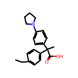 CCc1ccc(C(C)(C(=O)O)c2ccc(N3CCCC3)cc2)cc1